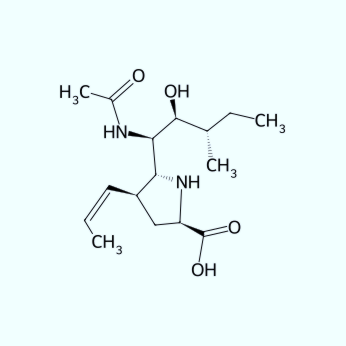 C/C=C\[C@@H]1C[C@H](C(=O)O)N[C@H]1[C@@H](NC(C)=O)[C@@H](O)[C@@H](C)CC